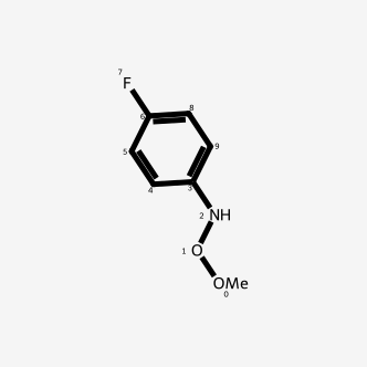 COONc1ccc(F)cc1